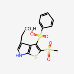 CS(=O)(=O)c1sc2[nH]cc(CC(=O)O)c2c1S(=O)(=O)c1ccccc1